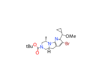 COC(c1nc2c(cc1Br)C[C@@H]1CN(C(=O)OC(C)(C)C)C[C@@H](C)N21)C1CC1